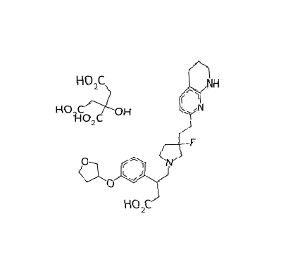 O=C(O)CC(CN1CCC(F)(CCc2ccc3c(n2)NCCC3)C1)c1cccc(OC2CCOC2)c1.O=C(O)CC(O)(CC(=O)O)C(=O)O